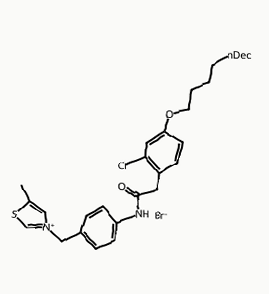 CCCCCCCCCCCCCCOc1ccc(CC(=O)Nc2ccc(C[n+]3csc(C)c3)cc2)c(Cl)c1.[Br-]